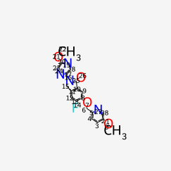 COc1ccc(COc2cc3c(cc2F)CN(c2cnc(OC)cn2)C3=O)nc1